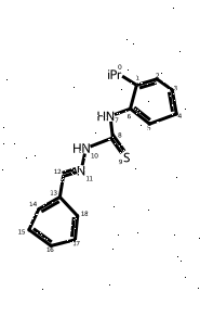 CC(C)c1ccccc1NC(=S)NN=Cc1ccccc1